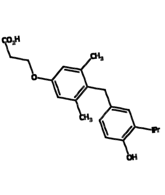 Cc1cc(OCCC(=O)O)cc(C)c1Cc1ccc(O)c(C(C)C)c1